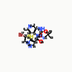 Cc1ncc(NC(=O)OC(C)(C)C)cc1[SH]1C(Br)=Cn2ncc(C(N)=O)c21